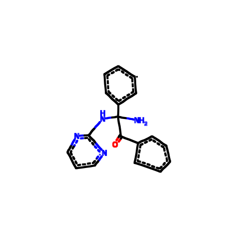 NC(Nc1ncccn1)(C(=O)c1ccccc1)c1c[c]ccc1